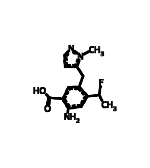 CC(F)c1cc(N)c(C(=O)O)cc1Cc1ccnn1C